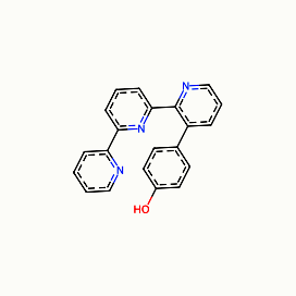 Oc1ccc(-c2cccnc2-c2cccc(-c3ccccn3)n2)cc1